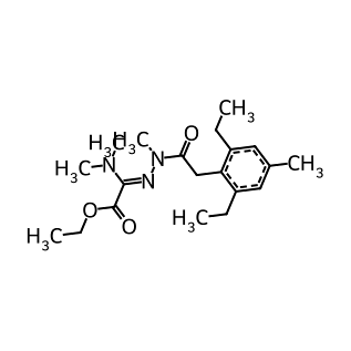 CCOC(=O)C(=NN(C)C(=O)Cc1c(CC)cc(C)cc1CC)N(C)C